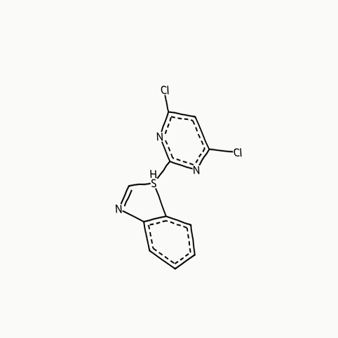 Clc1cc(Cl)nc([SH]2C=Nc3ccccc32)n1